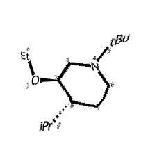 CCO[C@H]1CN(C(C)(C)C)CC[C@@H]1C(C)C